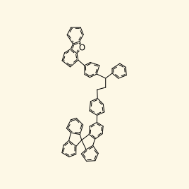 c1ccc(C(CCc2ccc(-c3ccc4c(c3)C3(c5ccccc5-c5ccccc53)c3ccccc3-4)cc2)c2ccc(-c3cccc4c3oc3ccccc34)cc2)cc1